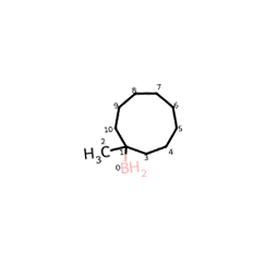 BC1(C)CCCCCCCC1